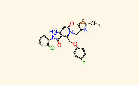 Cc1nc(Cn2c(COc3ccc(F)cc3)c3c(=O)n(-c4ccccc4Cl)[nH]c3cc2=O)cs1